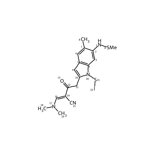 CSNc1cc2c(cc1C)cc(CC(=O)/C(C#N)=C/N(C)C)n2SI